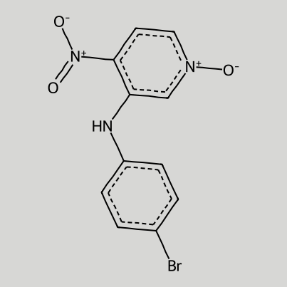 O=[N+]([O-])c1cc[n+]([O-])cc1Nc1ccc(Br)cc1